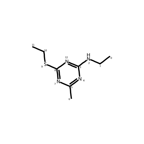 CCNc1nc(C)nc(SCC)n1